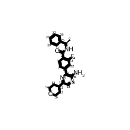 C[C@@H](NC(=O)c1ccc(-c2nc(C3CCOCC3)cnc2N)cc1F)c1ccccc1